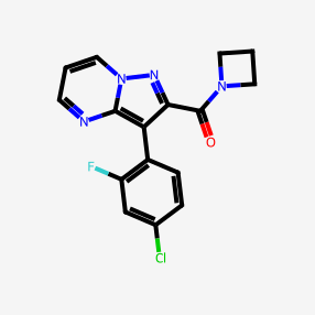 O=C(c1nn2cccnc2c1-c1ccc(Cl)cc1F)N1CCC1